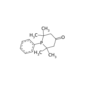 CC1(C)CC(=O)CC(C)(C)P1c1ccccc1